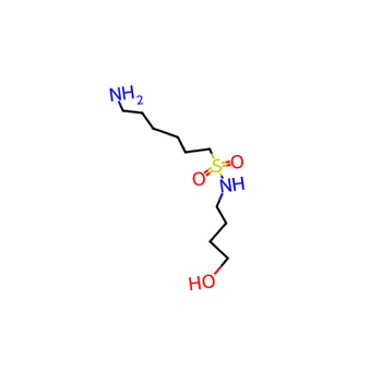 NCCCCCCS(=O)(=O)NCCCCO